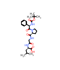 CC(C)C[C@@H](NC(=O)CNC(=O)[C@@H]1CCCN1C(=O)[C@H](NC(=O)OC(C)(C)C)c1ccccc1)C(=O)O